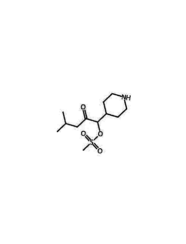 CC(C)CC(=O)C(OS(C)(=O)=O)C1CCNCC1